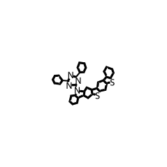 c1ccc(-c2nc(-c3ccccc3)nc(-n3c4ccccc4c4cc5sc6cc7sc8ccccc8c7cc6c5cc43)n2)cc1